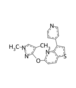 Cc1cn(C)nc1Oc1ccc2scc(-c3ccncc3)c2n1